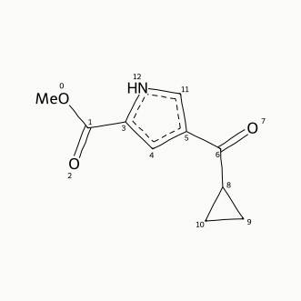 COC(=O)c1cc(C(=O)C2CC2)c[nH]1